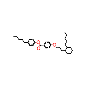 CCCCCc1ccc(OC(=O)c2ccc(OCCCC3CCCCC3CCCCC)cc2)cc1